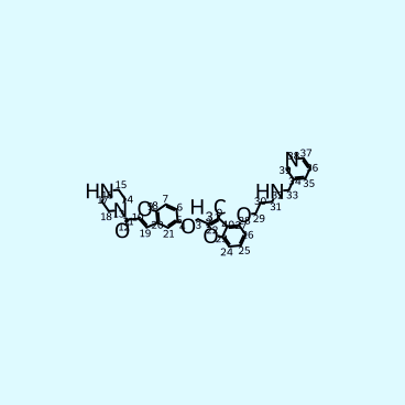 Cc1c(COc2ccc3oc(C(=O)N4CCNCC4)cc3c2)oc2cccc(OCCCNCc3cccnc3)c12